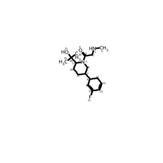 CNCC(=O)N1CC(C2C=C(F)C=CC2)CCC1C(C)(C)O